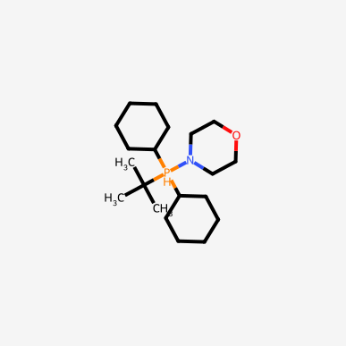 CC(C)(C)[PH](C1CCCCC1)(C1CCCCC1)N1CCOCC1